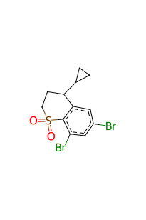 O=S1(=O)CCC(C2CC2)c2cc(Br)cc(Br)c21